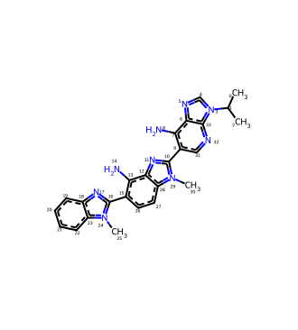 CC(C)n1cnc2c(N)c(-c3nc4c(N)c(-c5nc6ccccc6n5C)ccc4n3C)cnc21